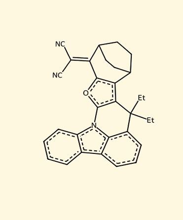 CCC1(CC)c2c(oc3c2C2CCC(CC2)C3=C(C#N)C#N)-n2c3ccccc3c3cccc1c32